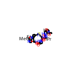 C=CC(=O)N1CCO[C@@H]2CCN(C(=O)N(C)C(C(=O)N[C@H]3Cc4nc(cs4)-c4ccc5c(c4)c(c(-c4cccnc4[C@H](C)OC)n5CC)CC(C)(C)COC(=O)[C@@H]4CCCN(N4)C3=O)C(C)C)C[C@H]21